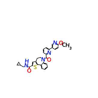 COc1ccc(-c2cccc(C(=O)N3CCc4cc(C(=O)NCC5CC5)sc4-c4ccccc43)n2)cn1